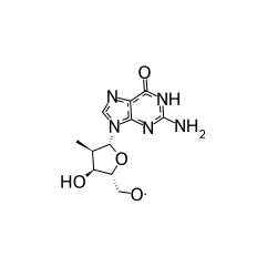 C[C@@H]1[C@H](O)[C@@H](C[O])O[C@H]1n1cnc2c(=O)[nH]c(N)nc21